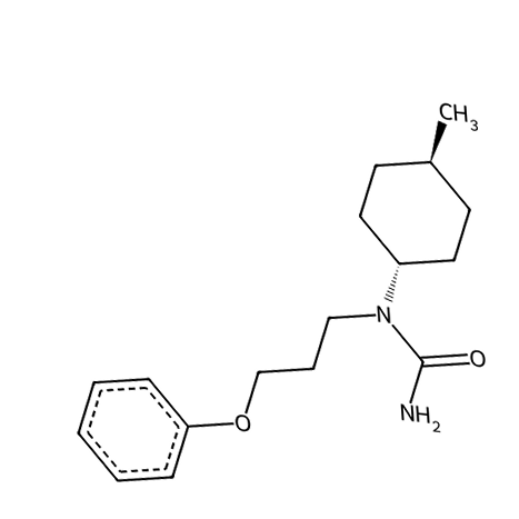 C[C@H]1CC[C@H](N(CCCOc2ccccc2)C(N)=O)CC1